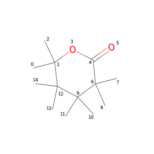 CC1(C)OC(=O)C(C)(C)C(C)(C)C1(C)C